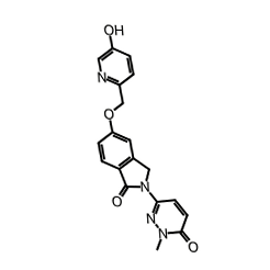 Cn1nc(N2Cc3cc(OCc4ccc(O)cn4)ccc3C2=O)ccc1=O